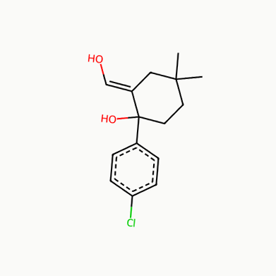 CC1(C)CCC(O)(c2ccc(Cl)cc2)/C(=C/O)C1